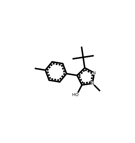 Cc1ccc(-c2c(C(C)(C)C)nn(C)c2O)cc1